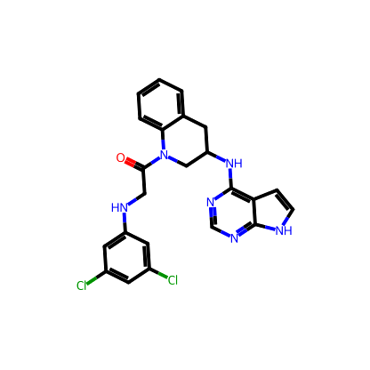 O=C(CNc1cc(Cl)cc(Cl)c1)N1CC(Nc2ncnc3[nH]ccc23)Cc2ccccc21